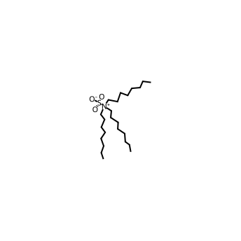 CCCCCCCC[N+](CCCCCCCC)(CCCCCCCC)S(=O)(=O)[O-]